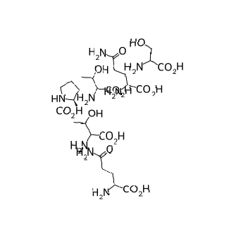 CC(O)C(N)C(=O)O.CC(O)C(N)C(=O)O.NC(=O)CCC(N)C(=O)O.NC(=O)CCC(N)C(=O)O.NC(CO)C(=O)O.O=C(O)[C@@H]1CCCN1